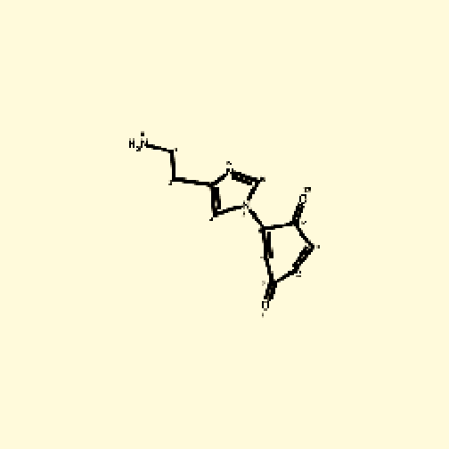 NCCc1cn(C2=CC(=O)C=CC2=O)cn1